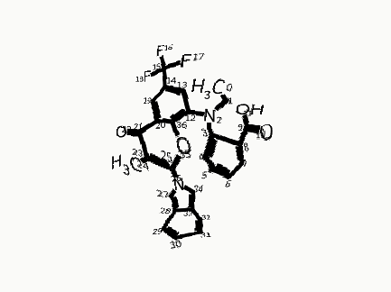 CCN(c1ccccc1C(=O)O)c1cc(C(F)(F)F)cc2c(=O)c(C)c(-n3cc4ccccc4c3)oc12